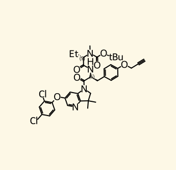 C#CCOc1ccc(C[C@H](NC(=O)[C@H](CC)N(C)C(=O)OC(C)(C)C)C(=O)N2CC(C)(C)c3ncc(Oc4ccc(Cl)cc4Cl)cc32)cc1